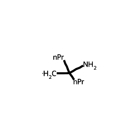 [CH2]C(N)(CCC)CCC